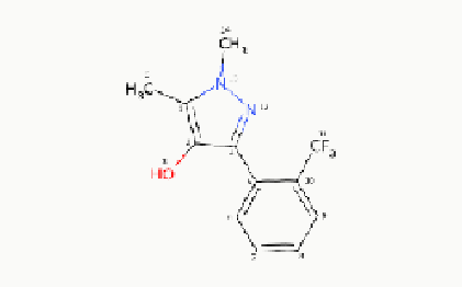 Cc1c(O)c(-c2ccccc2C(F)(F)F)nn1C